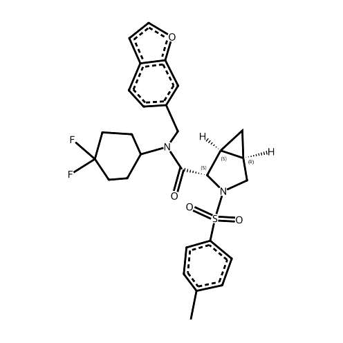 Cc1ccc(S(=O)(=O)N2C[C@@H]3C[C@@H]3[C@H]2C(=O)N(Cc2ccc3ccoc3c2)C2CCC(F)(F)CC2)cc1